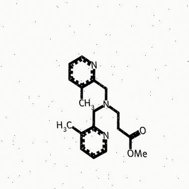 COC(=O)CCN(Cc1ncccc1C)Cc1ncccc1C